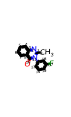 Cc1nc2ccccc2c(=O)n1-c1cccc(F)c1